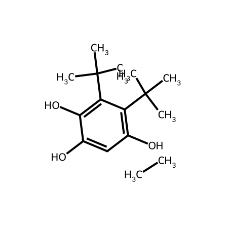 CC.CC(C)(C)c1c(O)cc(O)c(O)c1C(C)(C)C